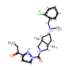 CCC(=O)c1ccn(C(=O)N2C[C@H]3C[C@H](N(C)Cc4ccccc4Cl)C[C@H]3C2)n1